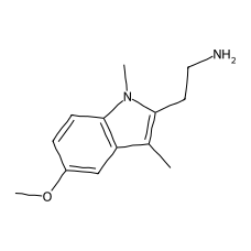 COc1ccc2c(c1)c(C)c(CCN)n2C